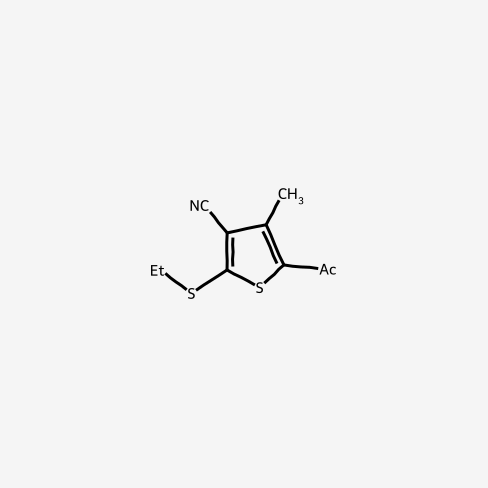 CCSc1sc(C(C)=O)c(C)c1C#N